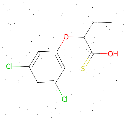 CCC(Oc1cc(Cl)cc(Cl)c1)C(O)=S